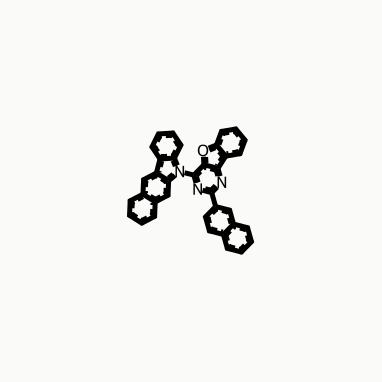 c1ccc2cc(-c3nc(-n4c5ccccc5c5cc6ccccc6cc54)c4oc5ccccc5c4n3)ccc2c1